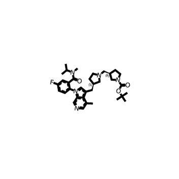 Cc1cncc2c1c(C[C@H]1CCN(C[C@H]3CCN(C(=O)OC(C)(C)C)C3)C1)cn2-c1ccc(F)cc1C(=O)N(C)C(C)C